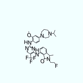 COc1cc(N2CCCN(C(C)C)CC2)ccc1Nc1ncc(C(F)(F)F)c(Nc2cccc3c2C(=O)N(CCF)C3C)n1